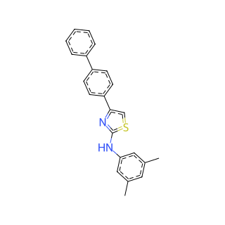 Cc1cc(C)cc(Nc2nc(-c3ccc(-c4ccccc4)cc3)cs2)c1